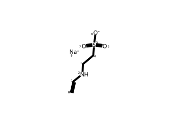 C=CNCCS(=O)(=O)[O-].[Na+]